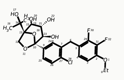 CCOc1ccc(Cc2cc([C@]34OC[C@@](C(C)(C)O)(O3)[C@@H](O)[C@H](O)[C@H]4O)ccc2Cl)c(F)c1F